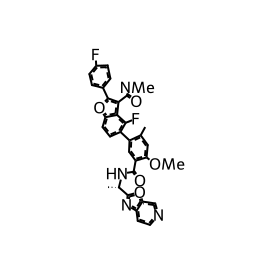 CNC(=O)c1c(-c2ccc(F)cc2)oc2ccc(-c3cc(C(=O)N[C@@H](C)c4nc5ccncc5o4)c(OC)cc3C)c(F)c12